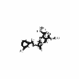 CC(=O)c1cccc(C(=O)NC2C(=O)N3C=C(C(=O)OC(C)(C)C)C(C(=O)NN)S[C@H]23)c1